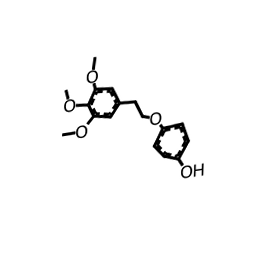 COc1cc(CCOc2ccc(O)cc2)cc(OC)c1OC